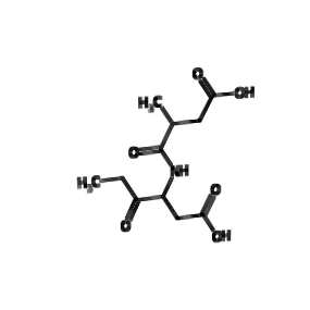 CCC(=O)C(CC(=O)O)NC(=O)C(C)CC(=O)O